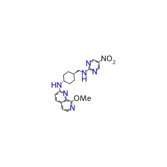 COc1nccc2ccc(N[C@H]3CC[C@H](CNc4ncc([N+](=O)[O-])cn4)CC3)nc12